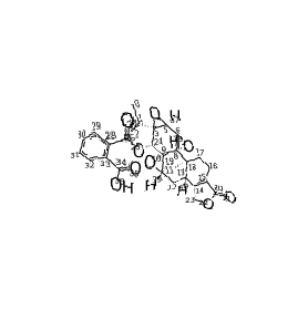 CC(C)[C@]12O[C@H]1[C@@H]1O[C@]13[C@]1(O[C@H]1C[C@H]1C4=C(CC[C@@]13C)C(=O)OC4)[C@@H]2OC(=O)c1ccccc1C(=O)O